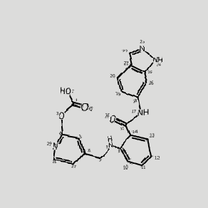 O=C(O)Oc1cc(CNc2ccccc2C(=O)Nc2ccc3cn[nH]c3c2)ccn1